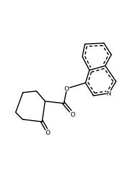 O=C1CCCCC1C(=O)Oc1cncc2ccccc12